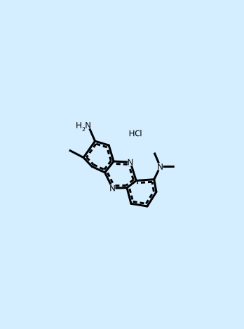 Cc1cc2nc3cccc(N(C)C)c3nc2cc1N.Cl